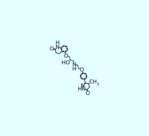 CC1CC(=O)NN=C1c1ccc(OCCNCC(O)COc2cccc3c2CCC(=O)N3)cc1